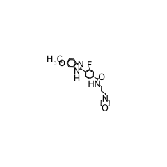 COc1ccc2nc(-c3ccc(C(=O)NCCCN4CCOCC4)cc3F)[nH]c2c1